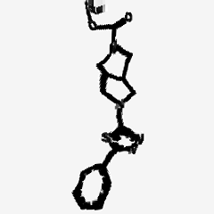 CC(C)(C)OC(=O)N1CC2CN(c3nnc(-c4ccccc4)s3)CC2C1